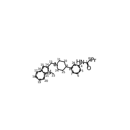 CC(C)C(=O)Nc1cccc(C2CCN(Cc3cc4ccccc4n3C)CC2)c1